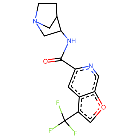 O=C(NC1CN2CCC1C2)c1cc2c(C(F)(F)F)coc2cn1